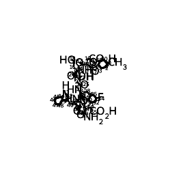 Cc1ccc(S(=O)(=O)N[C@H](CC(=O)O)C(=O)N[C@@H](CCO)C(=O)N(O)CC(=O)N[C@@H](Cc2cccc(F)c2)C(=O)N[C@@H](Cc2c[nH]c3ccccc23)C(=O)N[C@@H](CC(=O)O)C(N)=O)cc1